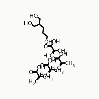 C=C(C)C(=O)O.C=C(C)C(=O)O.C=C(C)C(=O)O.C=C(C)C(=O)O.OCCCC(CO)CO